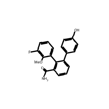 COc1c(F)cccc1-c1c(C(N)=O)cccc1-c1ccc(O)cc1